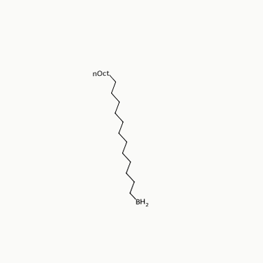 BCCCCCCCCCCCCCCCCCCCC